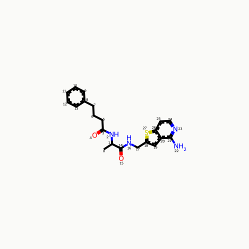 CC(NC(=O)CCCc1ccccc1)C(=O)NCc1cc2c(N)nccc2s1